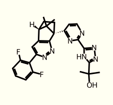 CC(C)(O)c1nnc(-c2nccc([C@]34CC[C@@H](c5cc(-c6c(F)cccc6F)nnc53)C4(C)C)n2)[nH]1